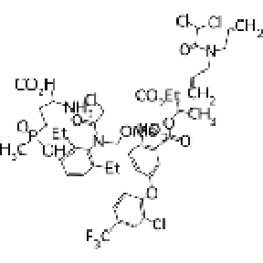 C=CCN(CC=C)C(=O)C(Cl)Cl.CCOC(=O)C(C)OC(=O)c1cc(Oc2ccc(C(F)(F)F)cc2Cl)ccc1[N+](=O)[O-].CCc1cccc(CC)c1N(COC)C(=O)CCl.CP(=O)(O)CCC(N)C(=O)O